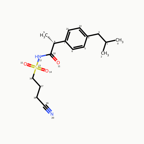 CC(C)Cc1ccc([C@@H](C)C(=O)NS(=O)(=O)CCCC#N)cc1